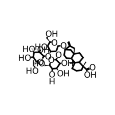 C=C1C[C@@]23CCC4C(C)(CCC[C@@]4(C)C(=O)O)C2CCC1(OC1O[C@H](CO)C(O)[C@H](OC2O[C@H](CO)C(O)[C@H](O)C2O)C1OC1O[C@H](CO)C(O)[C@H](O)C1O)C3